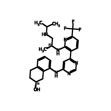 CC(C)NC[C@H](C)Nc1nc(C(F)(F)F)ccc1-c1cc(Nc2cccc3c2C[C@@H](O)CC3)ncn1